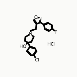 Cl.OC1(c2ccc(Cl)cc2)CCN(CCc2conc2-c2ccc(F)cc2)CC1